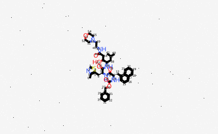 Cc1ncsc1C[C@H](NC(=O)[C@H](Cc1cccc2ccccc12)NC(=O)OCc1ccccc1)C(=O)NC(CC(C)C)C(O)CC(=O)NCCN1CCOCC1